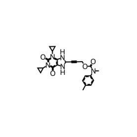 Cc1ccc(N(C)C(=O)OCC#CC2Nc3c(n(C4CC4)c(=O)n(C4CC4)c3=O)N2)cc1